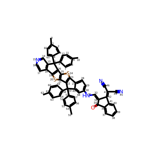 Cc1ccc(C2(c3ccc(C)cc3)c3cnccc3-c3sc4c5c(sc4c32)-c2ccc(N/C=C3\C(=O)c4ccccc4C3=C(C#N)C#N)cc2C5(c2ccc(C)cc2)c2ccc(C)cc2)cc1